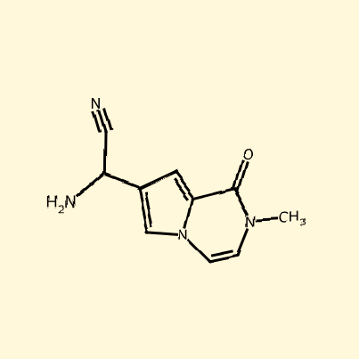 Cn1ccn2cc(C(N)C#N)cc2c1=O